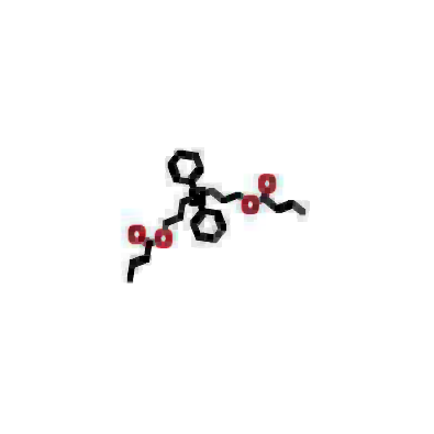 CC=CC(=O)OCCC[Si](CCCOC(=O)C=CC)(c1ccccc1)c1ccccc1